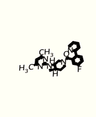 Cc1cc(C)nc(N2C[C@@H]3CCN(C(=O)c4cc(F)ccc4-c4ccccn4)C[C@@H]32)n1